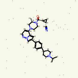 CC(C)N1CCC(c2ccc(-c3cc4c(N5CCN(C(=O)[C@H]6C[C@@H]6C#N)[C@H](C)C5)ccnn4c3)cc2)CC1